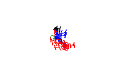 C[C@]12C[C@@H]3C[C@](C)(C1)C[C@@](NC(=O)Nc1nc(Cl)nc4c1ncn4C1OC(COP(=O)(O)CP(=O)(O)O)C(O)C1O)(C3)C2